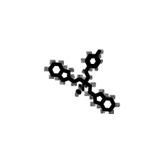 C#[N+]C(CCc1ccc(C)cc1)(CCC1CC2CCCCC2C1)CCC1CC2CCCCC2C1